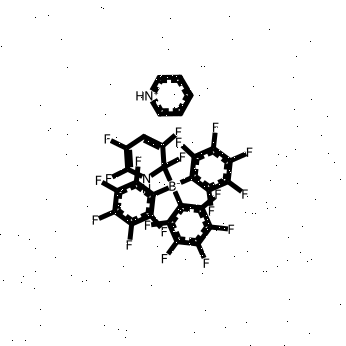 FC1=CC(F)=C(F)NC1(F)[B-](c1c(F)c(F)c(F)c(F)c1F)(c1c(F)c(F)c(F)c(F)c1F)c1c(F)c(F)c(F)c(F)c1F.c1cc[nH+]cc1